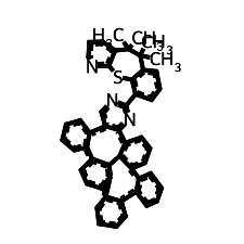 CC1(C)c2cccnc2Sc2c(-c3ncc4c5ccccc5c5cccc6c5-c5c(cccc5c4n3)c3ccccc3c3ccccc63)cccc2C1(C)C